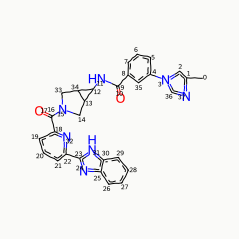 Cc1cn(-c2cccc(C(=O)NC3C4CN(C(=O)c5cccc(-c6nc7ccccc7[nH]6)n5)CC43)c2)cn1